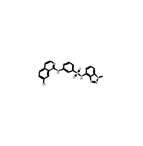 Cn1nnc2c(NS(=O)(=O)c3cccc(Nc4nccc5ccc(Cl)cc45)c3)cccc21